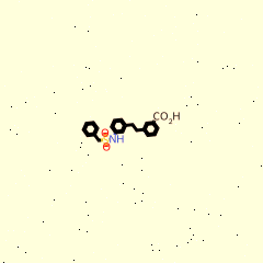 O=C(O)c1cccc(CCc2cccc(NS(=O)(=O)Cc3ccccc3)c2)c1